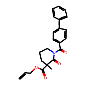 C=CCOC(=O)C1(C)CCCN(C(=O)c2ccc(-c3ccccc3)cc2)C1=O